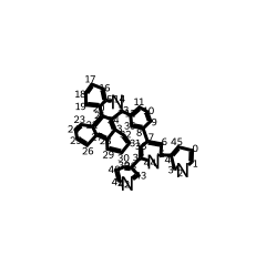 c1cncc(-c2cc(-c3cccc(-c4nc5ccccc5c5c6ccccc6c6ccccc6c45)c3)cc(-c3cccnc3)n2)c1